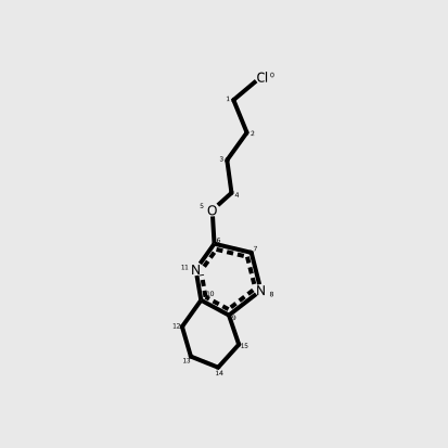 ClCCCCOc1cnc2c(n1)CCCC2